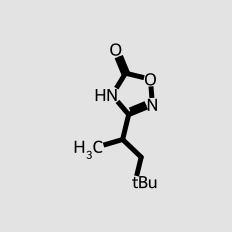 CC(CC(C)(C)C)c1noc(=O)[nH]1